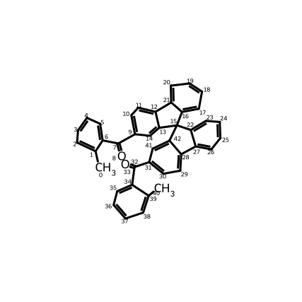 Cc1ccccc1C(=O)c1ccc2c(c1)C1(c3ccccc3-2)c2ccccc2-c2ccc(C(=O)c3ccccc3C)cc21